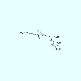 CNCCCC[C@H](N)C(=O)NCCCC[C@H](NC)C(=O)CN[C@H](C(=O)O)[C@@H](C)O